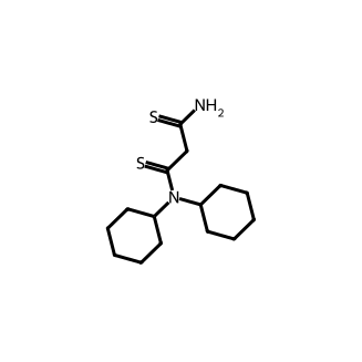 NC(=S)CC(=S)N(C1CCCCC1)C1CCCCC1